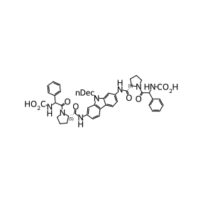 CCCCCCCCCCn1c2cc(NC(=O)[C@@H]3CCCN3C(=O)C(NC(=O)O)c3ccccc3)ccc2c2ccc(NC(=O)[C@@H]3CCCN3C(=O)C(NC(=O)O)c3ccccc3)cc21